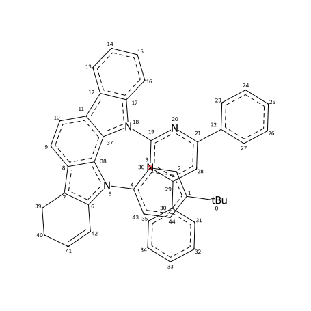 CC(C)(C)c1ccc(-n2c3c(c4ccc5c6ccccc6n(-c6nc(-c7ccccc7)cc(-c7ccccc7)n6)c5c42)CCC=C3)cc1